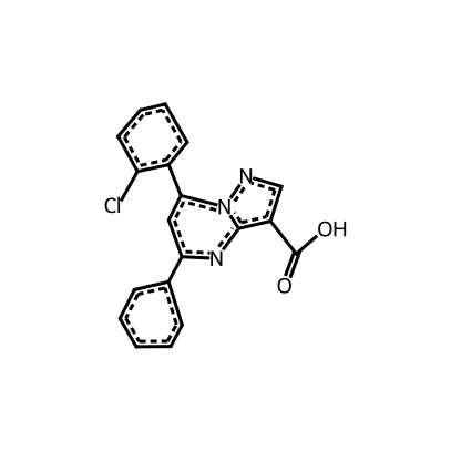 O=C(O)c1cnn2c(-c3ccccc3Cl)cc(-c3ccccc3)nc12